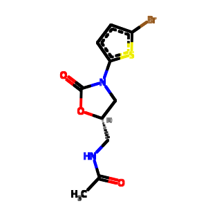 CC(=O)NC[C@H]1CN(c2ccc(Br)s2)C(=O)O1